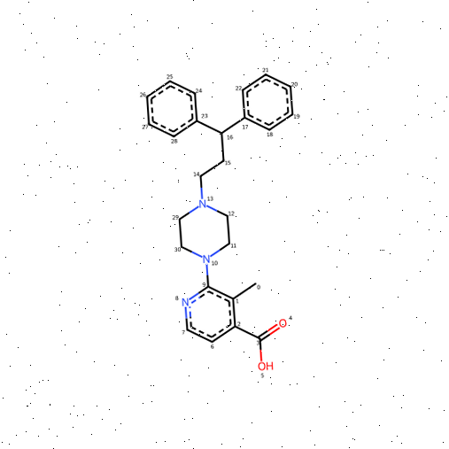 Cc1c(C(=O)O)ccnc1N1CCN(CCC(c2ccccc2)c2ccccc2)CC1